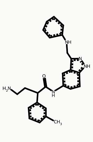 Cc1cccc(C(CCN)C(=O)Nc2ccc3[nH]nc(CNc4ccccc4)c3c2)c1